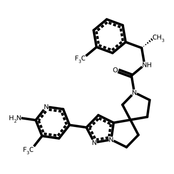 C[C@H](NC(=O)N1CCC2(CCn3nc(-c4cnc(N)c(C(F)(F)F)c4)cc32)C1)c1cccc(C(F)(F)F)c1